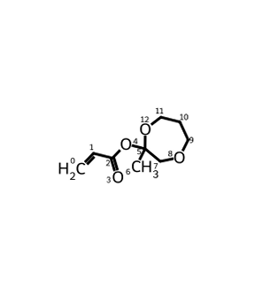 C=CC(=O)OC1(C)COCCCO1